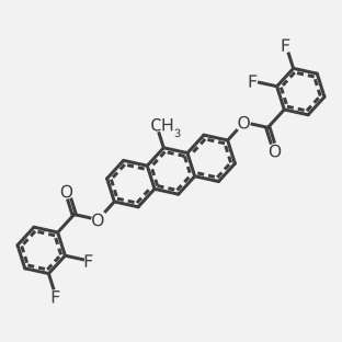 Cc1c2ccc(OC(=O)c3cccc(F)c3F)cc2cc2ccc(OC(=O)c3cccc(F)c3F)cc12